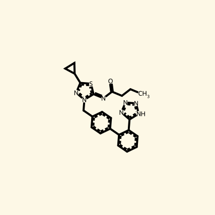 CCCC(=O)N=c1sc(C2CC2)nn1Cc1ccc(-c2ccccc2-c2nnn[nH]2)cc1